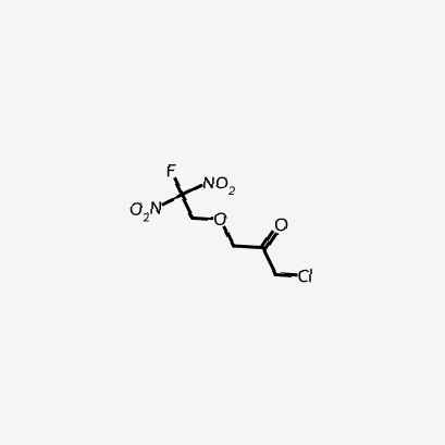 O=C(CCl)COCC(F)([N+](=O)[O-])[N+](=O)[O-]